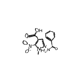 Cn1ncc(C(=O)O)c1[N+](=O)[O-].NC(=O)c1ccccc1